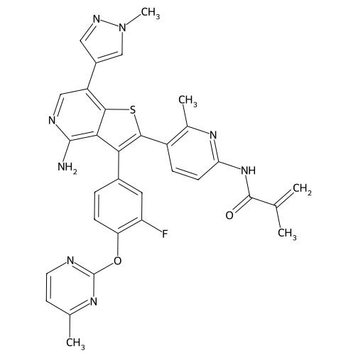 C=C(C)C(=O)Nc1ccc(-c2sc3c(-c4cnn(C)c4)cnc(N)c3c2-c2ccc(Oc3nccc(C)n3)c(F)c2)c(C)n1